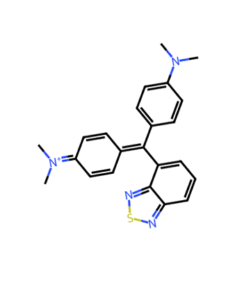 CN(C)c1ccc(C(=C2C=CC(=[N+](C)C)C=C2)c2cccc3nsnc23)cc1